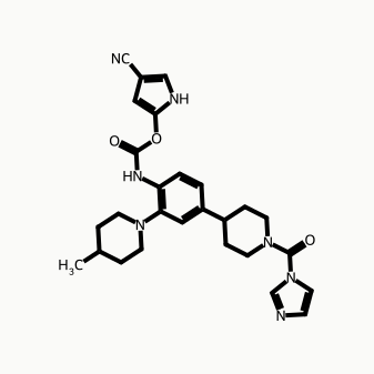 CC1CCN(c2cc(C3CCN(C(=O)n4ccnc4)CC3)ccc2NC(=O)Oc2cc(C#N)c[nH]2)CC1